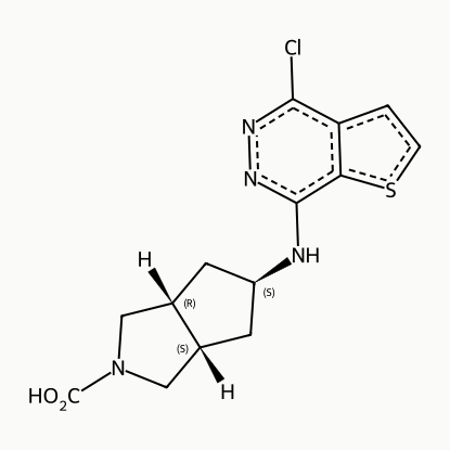 O=C(O)N1C[C@H]2C[C@H](Nc3nnc(Cl)c4ccsc34)C[C@H]2C1